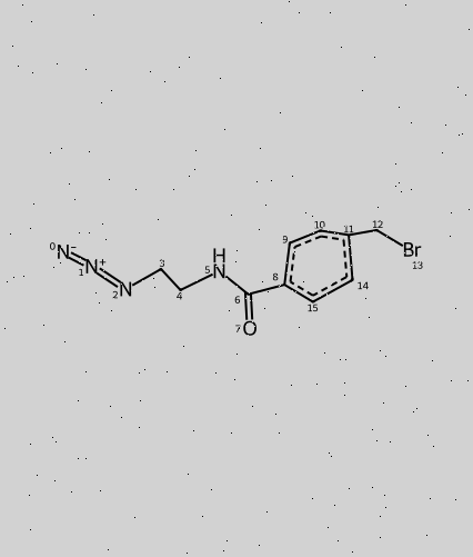 [N-]=[N+]=NCCNC(=O)c1ccc(CBr)cc1